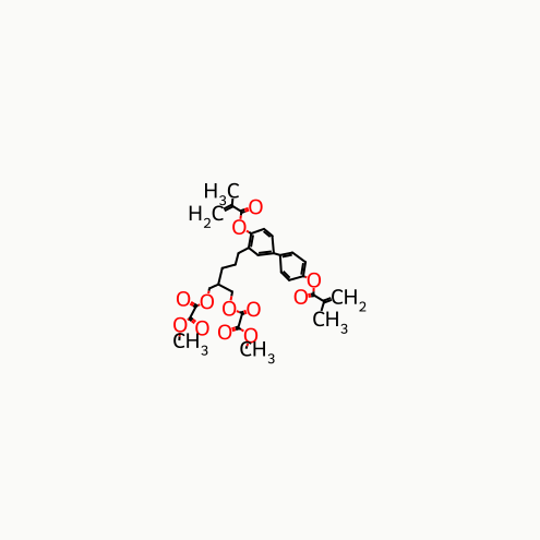 C=C(C)C(=O)Oc1ccc(-c2ccc(OC(=O)C(=C)C)c(CCCC(COC(=O)C(=O)OC)COC(=O)C(=O)OC)c2)cc1